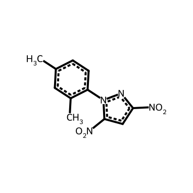 Cc1ccc(-n2nc([N+](=O)[O-])cc2[N+](=O)[O-])c(C)c1